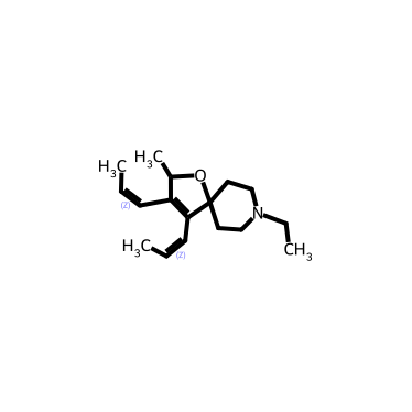 C/C=C\C1=C(/C=C\C)C2(CCN(CC)CC2)OC1C